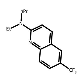 CCCN(CC)c1ccc2cc(C(F)(F)F)ccc2n1